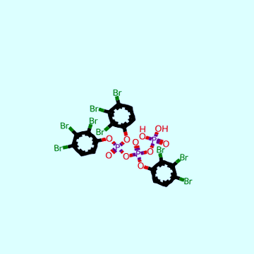 O=P(O)(O)OP(=O)(Oc1ccc(Br)c(Br)c1Br)OP(=O)(Oc1ccc(Br)c(Br)c1Br)Oc1ccc(Br)c(Br)c1Br